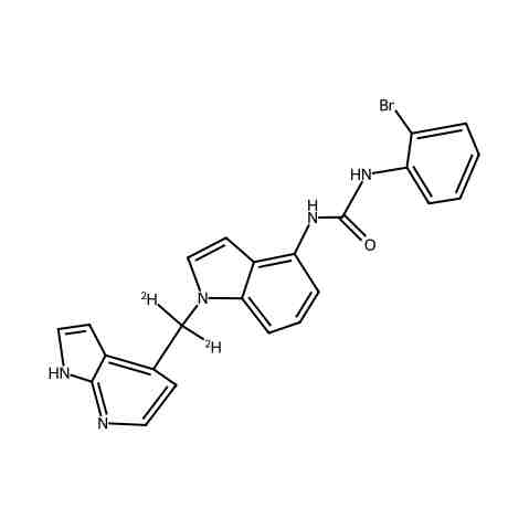 [2H]C([2H])(c1ccnc2[nH]ccc12)n1ccc2c(NC(=O)Nc3ccccc3Br)cccc21